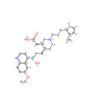 COc1ccc2nccc([C@@H](O)CC[C@@H]3CCN(CCCc4sccc4C)C[C@@H]3CC(=O)O)c2c1